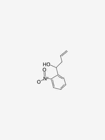 C=CCC(O)c1ccccc1[N+](=O)[O-]